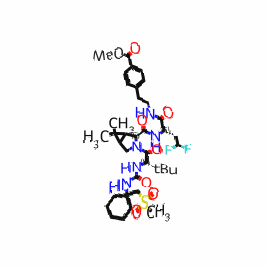 COC(=O)c1ccc(CCNC(=O)[C@H](CC(F)F)NC(=O)[C@@H]2C3C(CN2C(=O)[C@@H](NC(=O)NC2(CS(C)(=O)=O)CCCCC2)C(C)(C)C)C3(C)C)cc1